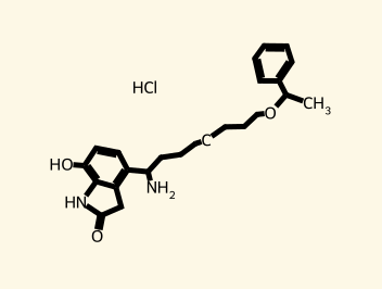 CC(OCCCCCCCC(N)c1ccc(O)c2c1CC(=O)N2)c1ccccc1.Cl